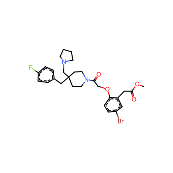 COC(=O)Cc1cc(Br)ccc1OCC(=O)N1CCC(Cc2ccc(F)cc2)(CN2CCCC2)CC1